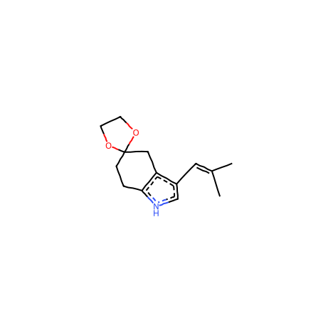 CC(C)=Cc1c[nH]c2c1CC1(CC2)OCCO1